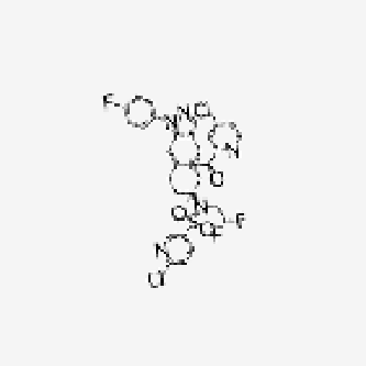 O=C(c1cc(Cl)ccn1)[C@]12Cc3cnn(-c4ccc(F)cc4)c3C=C1CC[C@H](N(CC(F)F)S(=O)(=O)c1ccc(Cl)nc1)C2